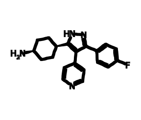 N[C@H]1CC[C@@H](c2[nH]nc(-c3ccc(F)cc3)c2-c2ccncc2)CC1